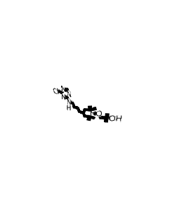 CC(C)(O)CON1C(C)(C)CC(CCCCNc2ncnc(Cl)n2)CC1(C)C